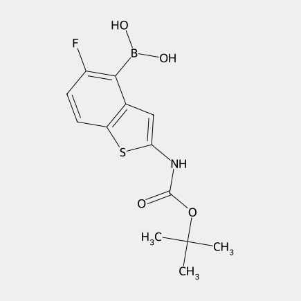 CC(C)(C)OC(=O)Nc1cc2c(B(O)O)c(F)ccc2s1